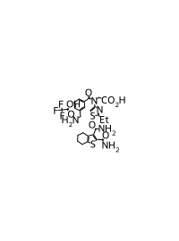 CCc1nc(N(CC(=O)O)C(=O)c2cccc(CN)c2)cs1.NC(=O)c1sc2c(c1C(N)=O)CCCC2.O=C(O)C(F)(F)F